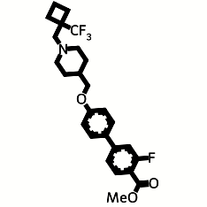 COC(=O)c1ccc(-c2ccc(OCC3CCN(CC4(C(F)(F)F)CCC4)CC3)cc2)cc1F